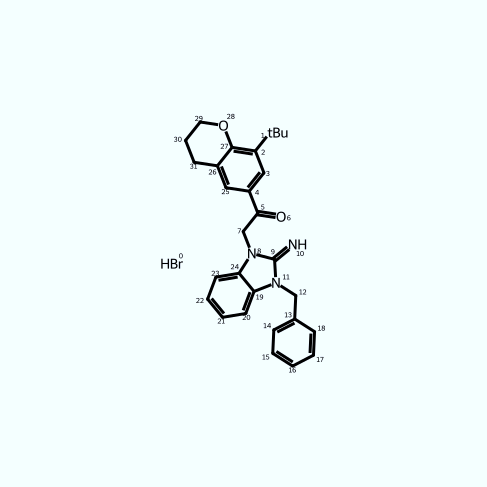 Br.CC(C)(C)c1cc(C(=O)Cn2c(=N)n(Cc3ccccc3)c3ccccc32)cc2c1OCCC2